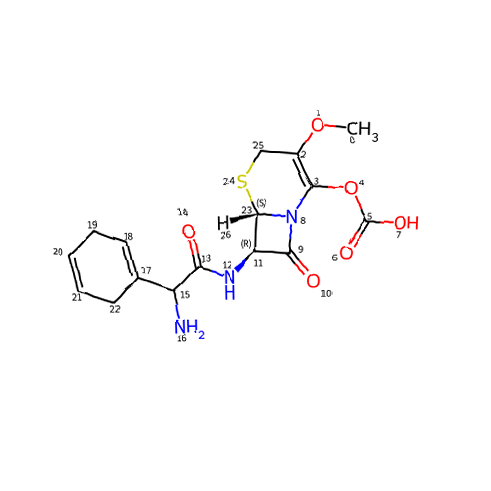 COC1=C(OC(=O)O)N2C(=O)[C@@H](NC(=O)C(N)C3=CCC=CC3)[C@@H]2SC1